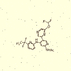 CC(=O)Nc1cc(Nc2ccnc(C(C)(F)F)n2)c(-c2cncc(OC(F)F)n2)cn1